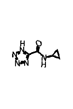 O=C(NC1CC1)c1nnn[nH]1